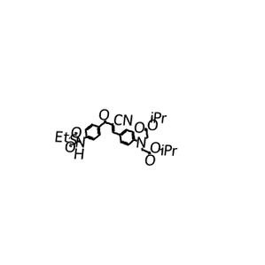 CCS(=O)(=O)Nc1ccc(C(=O)C(C#N)=Cc2ccc(N(CC(=O)OC(C)C)CC(=O)OC(C)C)cc2)cc1